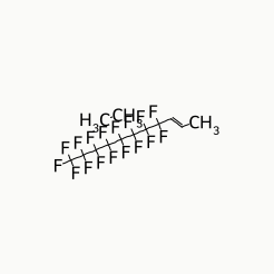 CC.CC=CC(F)(F)C(F)(F)C(F)(F)C(F)(F)C(F)(F)C(F)(F)C(F)(F)C(F)(F)F